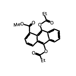 CCC(=O)Oc1c2ccccc2c(OC(=O)CC)c2c(C(=O)OC)cccc12